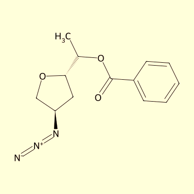 CC(OC(=O)c1ccccc1)[C@@H]1C[C@@H](N=[N+]=[N-])CO1